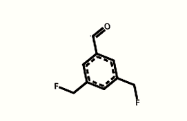 O=[C]c1cc(CF)cc(CF)c1